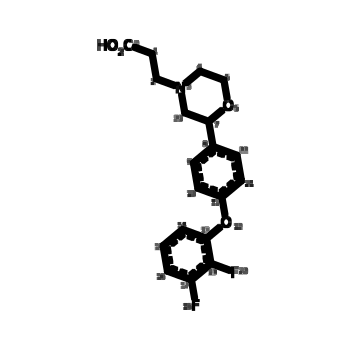 O=C(O)CCN1CCOC(c2ccc(Oc3cccc(F)c3F)cc2)C1